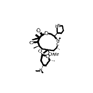 CO[C@]1(C)C[C@@H](C)CN(C)[C@H](C2CCCNC2)COC(=O)C(C)(C)C(=O)[C@H](C)[C@H]1O[C@H]1C[C@@H](N(C)C)C[C@@H](C)O1